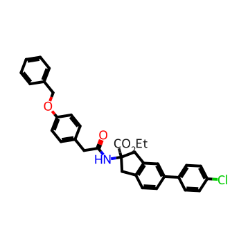 CCOC(=O)C1(NC(=O)Cc2ccc(OCc3ccccc3)cc2)Cc2ccc(-c3ccc(Cl)cc3)cc2C1